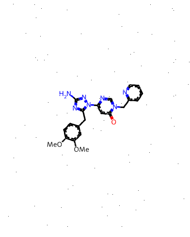 COc1ccc(Cc2nc(N)nn2-c2cc(=O)n(Cc3ccccn3)cn2)cc1OC